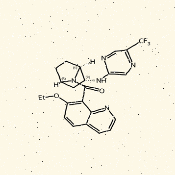 CCOc1ccc2cccnc2c1C(=O)N1[C@@H]2CC[C@H]1[C@H](Nc1cnc(C(F)(F)F)cn1)C2